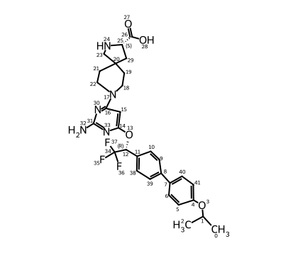 CC(C)Oc1ccc(-c2ccc([C@@H](Oc3cc(N4CCC5(CC4)CN[C@H](C(=O)O)C5)nc(N)n3)C(F)(F)F)cc2)cc1